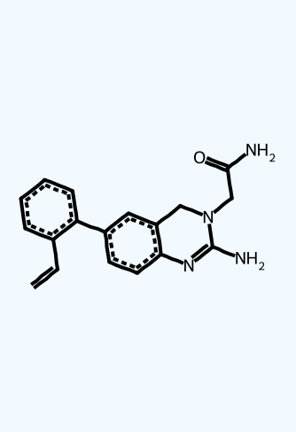 C=Cc1ccccc1-c1ccc2c(c1)CN(CC(N)=O)C(N)=N2